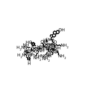 CSCC[C@H](NC(=O)[C@H](CO)NC(=O)[C@H](CCCNC(=N)N)NC(=O)C(CC(C)C)NC(=O)[C@H](CCCCN)NC(=O)[C@H](CCCCN)NC(=O)CC[C@@H](C)[C@H]1CCC2C3CCC4C[C@H](O)CC[C@]4(C)C3CC[C@@]21C)C(=O)N[C@H](C(=O)N[C@@H](CC(=O)O)C(=O)N[C@@H](CCCCN)C(=O)N[C@@H](Cc1ccc(O)cc1)C(=O)N[C@@H](CCCNC(=N)N)C(=O)N[C@@H](CC(C)C)C(=O)N[C@@H](Cc1c[nH]cn1)C(N)=O)[C@@H](C)O